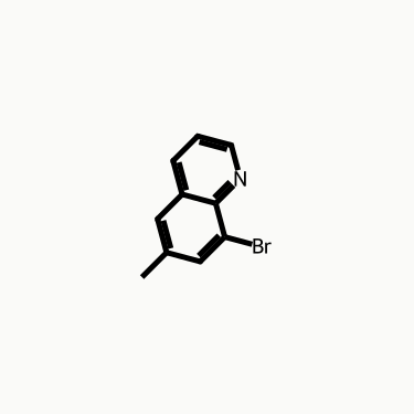 Cc1cc(Br)c2ncccc2c1